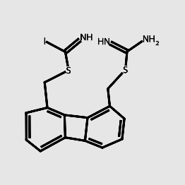 N=C(N)SCc1cccc2c1-c1c(CSC(=N)I)cccc1-2